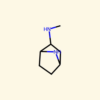 CNC1CC2CCC1N2